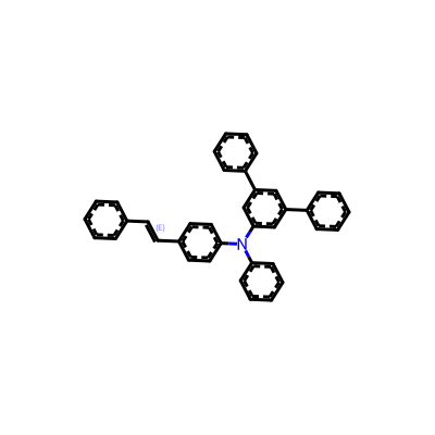 C(=C\c1ccc(N(c2ccccc2)c2cc(-c3ccccc3)cc(-c3ccccc3)c2)cc1)/c1ccccc1